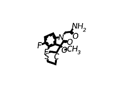 COC1(C2CCCSC2)C(=O)N(CC(N)=O)c2ccc(F)c(F)c21